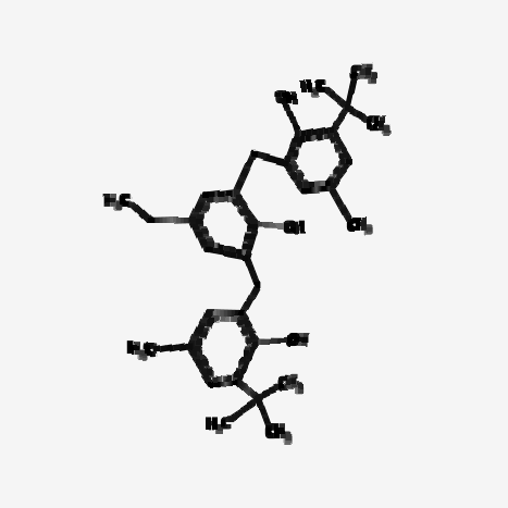 CCc1cc(Cc2cc(C)cc(C(C)(C)C)c2O)c(O)c(Cc2cc(C)cc(C(C)(C)C)c2O)c1